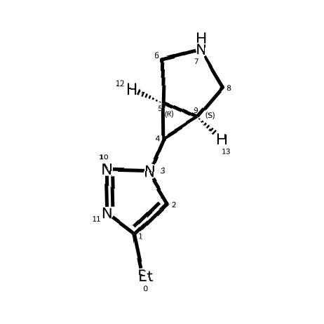 CCc1cn(C2[C@H]3CNC[C@@H]23)nn1